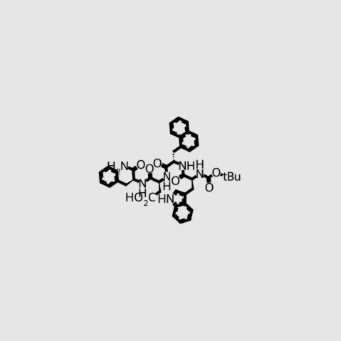 CC(C)(C)OC(=O)N[C@@H](Cc1c[nH]c2ccccc12)C(=O)N[C@@H](Cc1cccc2ccccc12)C(=O)N[C@@H](CC(=O)O)C(=O)N[C@@H](Cc1ccccc1)C(N)=O